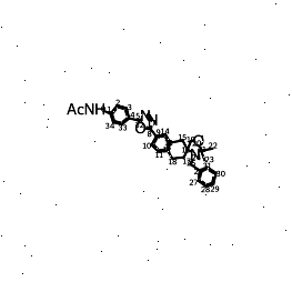 CC(=O)Nc1ccc(-c2nnc(-c3ccc4c(c3)CC3(CC4)COC(C)(C)N3Cc3ccccc3)o2)cc1